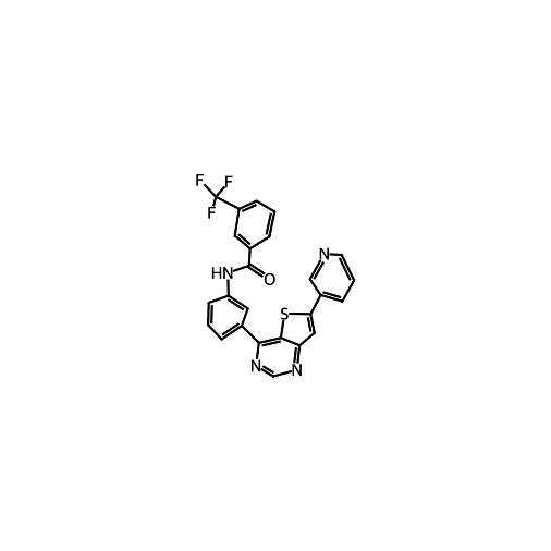 O=C(Nc1cccc(-c2ncnc3cc(-c4cccnc4)sc23)c1)c1cccc(C(F)(F)F)c1